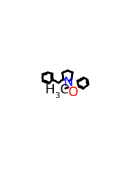 CC(Oc1ccccc1)N1CCCCC1Cc1ccccc1